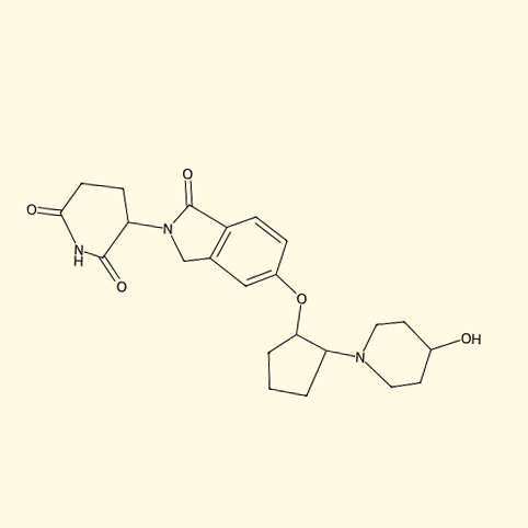 O=C1CCC(N2Cc3cc(OC4CCCC4N4CCC(O)CC4)ccc3C2=O)C(=O)N1